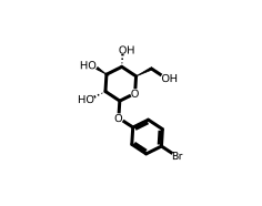 OC[C@H]1OC(Oc2ccc(Br)cc2)[C@H](O)[C@@H](O)[C@@H]1O